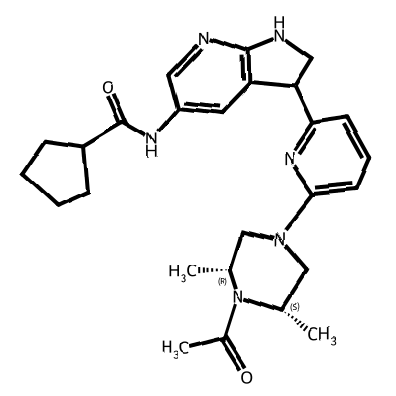 CC(=O)N1[C@H](C)CN(c2cccc(C3CNc4ncc(NC(=O)C5CCCC5)cc43)n2)C[C@@H]1C